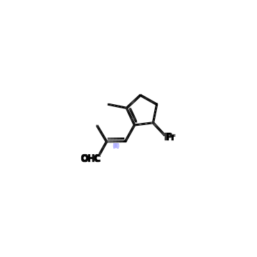 CC1=C(/C=C(\C)C=O)C(C(C)C)CC1